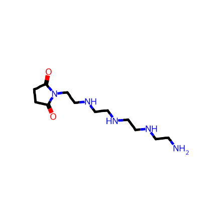 NCCNCCNCCNCCN1C(=O)CCC1=O